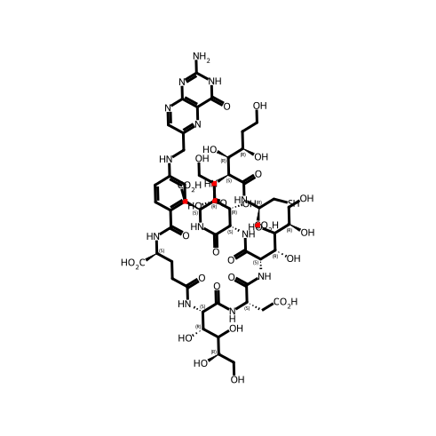 Nc1nc2ncc(CNc3ccc(C(=O)N[C@@H](CCC(=O)N[C@H](C(=O)N[C@@H](CC(=O)O)C(=O)N[C@H](C(=O)N[C@H](C(=O)N[C@@H](CC(=O)O)C(=O)N[C@H](C(=O)N[C@@H](CS)C(=O)O)[C@@H](O)[C@H](O)CCO)[C@@H](O)[C@H](O)CCO)[C@@H](O)C(O)[C@H](O)CO)[C@@H](O)C(O)[C@H](O)CO)C(=O)O)cc3)nc2c(=O)[nH]1